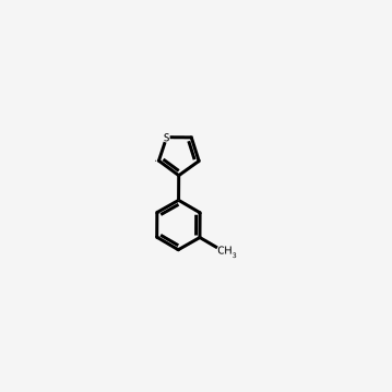 Cc1cccc(-c2[c]scc2)c1